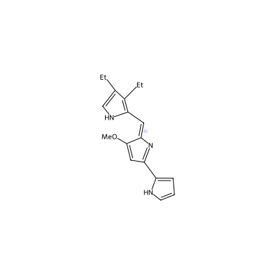 CCc1c[nH]c(/C=C2/N=C(c3ccc[nH]3)C=C2OC)c1CC